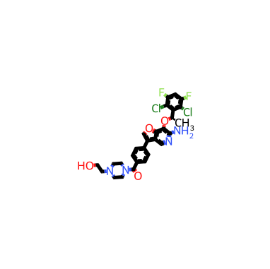 C[C@@H](Oc1c(N)ncc2c(-c3ccc(C(=O)N4CCN(CCO)CC4)cc3)coc12)c1c(Cl)c(F)cc(F)c1Cl